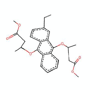 CCc1ccc2c(OC(C)CC(=O)OC)c3ccccc3c(OC(C)CC(=O)OC)c2c1